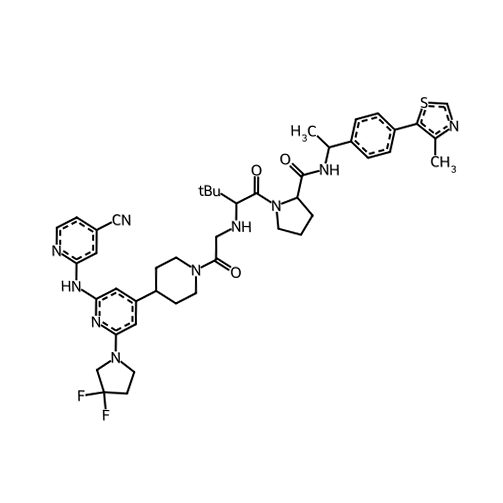 Cc1ncsc1-c1ccc(C(C)NC(=O)C2CCCN2C(=O)C(NCC(=O)N2CCC(c3cc(Nc4cc(C#N)ccn4)nc(N4CCC(F)(F)C4)c3)CC2)C(C)(C)C)cc1